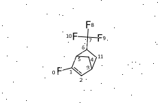 FC1=CC2CC1C(C(F)(F)F)C2